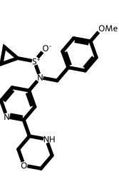 COc1ccc(CN(c2ccnc(C3COCCN3)c2)[S+]([O-])C2CC2)cc1